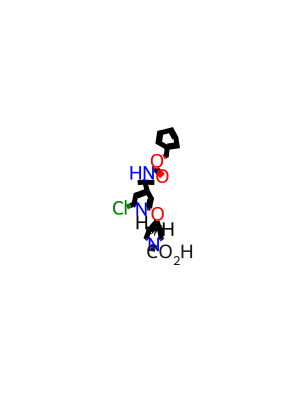 CC(C)(NC(=O)OCc1ccccc1)c1cc(Cl)nc(OC2[C@H]3CN(C(=O)O)C[C@@H]23)c1